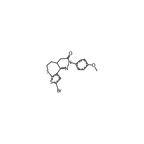 COc1ccc(N2N=C3c4cc(Br)sc4SCCC3CC2=O)cc1